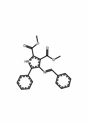 COC(=O)c1[nH]c(-c2ccccc2)c(N=Cc2ccccc2)c1C(=O)OC